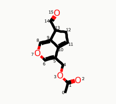 CC(=O)OCC1=COC=C2C1=CCC2C=O